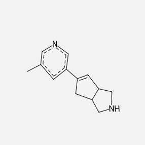 Cc1cncc(C2=CC3CNCC3C2)c1